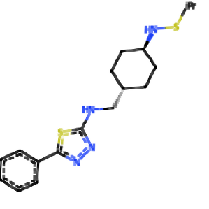 CC(C)SN[C@H]1CC[C@H](CNc2nnc(-c3ccccc3)s2)CC1